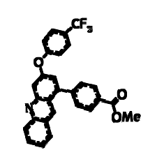 COC(=O)c1ccc(-c2cc(Oc3ccc(C(F)(F)F)cc3)cc3nc4ccccc4cc23)cc1